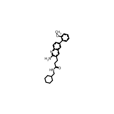 COc1ccccc1-c1ccc2nc(N)c(CCC(=O)NCC3CCCCC3)cc2c1